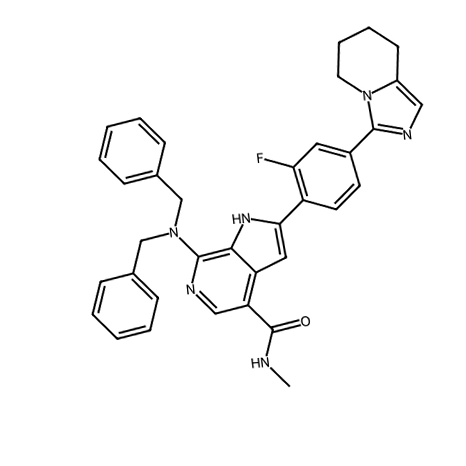 CNC(=O)c1cnc(N(Cc2ccccc2)Cc2ccccc2)c2[nH]c(-c3ccc(-c4ncc5n4CCCC5)cc3F)cc12